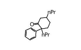 CCCC1CCC(CCC)(c2ccccc2)C(=O)C1